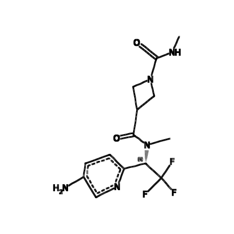 CNC(=O)N1CC(C(=O)N(C)[C@@H](c2ccc(N)cn2)C(F)(F)F)C1